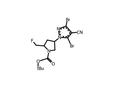 CC(C)(C)OC(=O)N1CC(n2nc(Br)c(C#N)c2Br)CC1CF